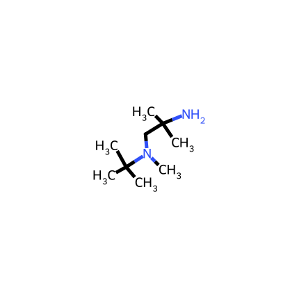 CN(CC(C)(C)N)C(C)(C)C